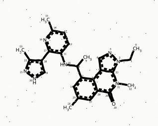 CCn1ncc2c3c(C(C)Nc4ccc(C)nc4-c4c[nH]nc4C)cc(C)cc3c(=O)n(C)c21